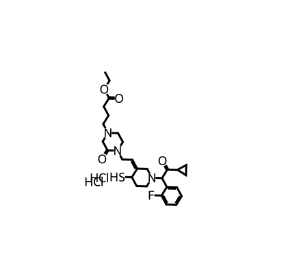 CCOC(=O)CCCN1CCN(C/C=C2/CN(C(C(=O)C3CC3)c3ccccc3F)CCC2S)C(=O)C1.Cl.Cl